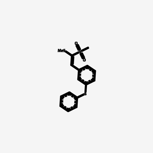 CSC(=Cc1cccc(Sc2ccccc2)c1)S(C)(=O)=O